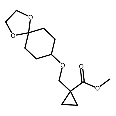 COC(=O)C1(COC2CCC3(CC2)OCCO3)CC1